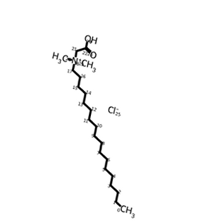 CCCCCCCCCCCCCCCCCC[N+](C)(C)CC(=O)O.[Cl-]